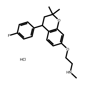 CNCCOc1ccc2c(c1)OC(C)(C)CC2c1ccc(F)cc1.Cl